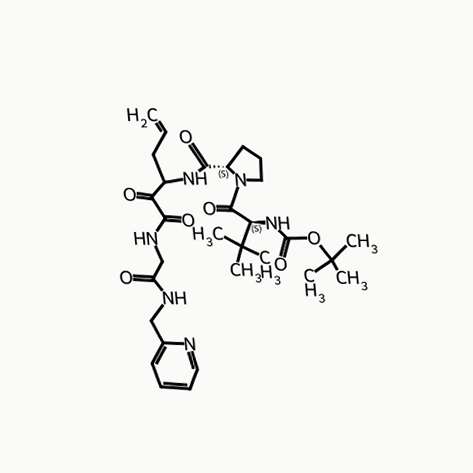 C=CCC(NC(=O)[C@@H]1CCCN1C(=O)[C@@H](NC(=O)OC(C)(C)C)C(C)(C)C)C(=O)C(=O)NCC(=O)NCc1ccccn1